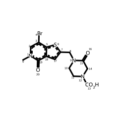 Cn1cc(Br)c2sc(CN3CCN(C(=O)O)CC3=O)cc2c1=O